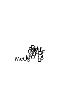 COC(=O)OCOc1c2n(c(-c3cc(F)c(F)c4c3Cc3ccccc3SC4)cc1=O)N[C@@H]1CCCC3(CC3)N1C2=O